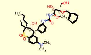 CCCC[C@]1(CC)CS(=O)(=O)c2ccc(N(C)C)cc2[C@@H](c2cccc(NC(=O)N[C@H](OC)[C@H](O)[C@H](CO)OCc3ccccc3)c2)[C@H]1O